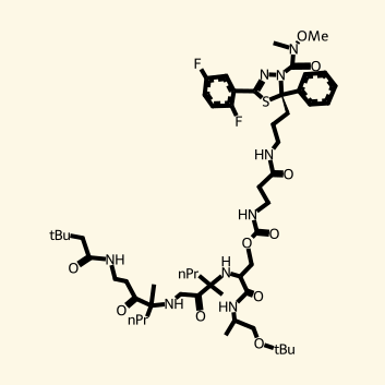 CCCC(C)(NCC(=O)C(C)(CCC)NC(COC(=O)NCCC(=O)NCCC[C@@]1(c2ccccc2)SC(c2cc(F)ccc2F)=NN1C(=O)N(C)OC)C(=O)NC(C)COC(C)(C)C)C(=O)CCNC(=O)CC(C)(C)C